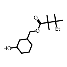 CCC(C)(C)C(C)(C)C(=O)OCC1CCCC(O)C1